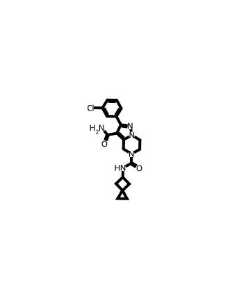 NC(=O)c1c(-c2cccc(Cl)c2)nn2c1CN(C(=O)NC1CC3(CC3)C1)CC2